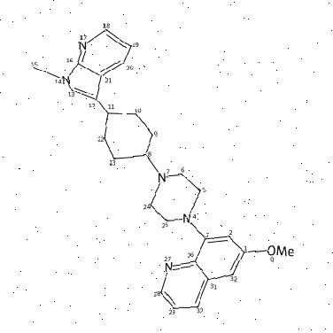 COc1cc(N2CCN(C3CCC(c4cn(C)c5ncccc45)CC3)CC2)c2ncccc2c1